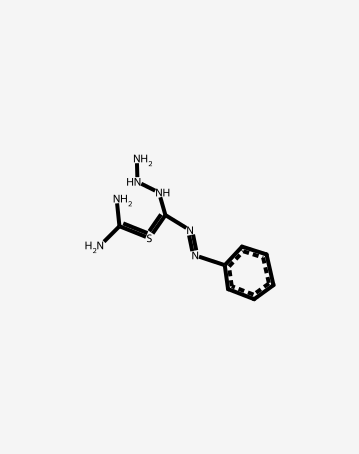 NNNC(N=Nc1ccccc1)=S=C(N)N